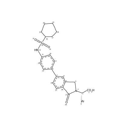 CC(C)[C@@H](C(=O)O)N1Cc2cc(-c3ccc(NS(=O)(=O)C4CCCCC4)cc3)ccc2C1=O